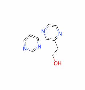 OCCc1cnccn1.c1cncnc1